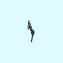 CCCCCCCCCOc1ccc(-c2ccc(-c3ccc(C4CCC(CCC)CC4)c(F)c3F)cc2)c(F)c1F